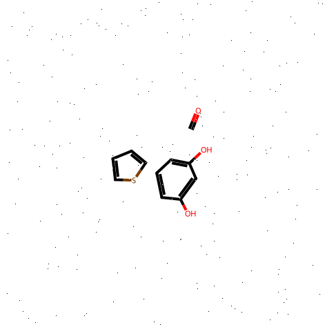 C=O.Oc1cccc(O)c1.c1ccsc1